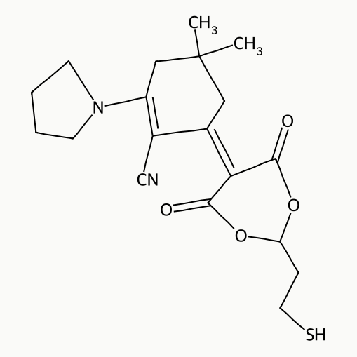 CC1(C)CC(=C2C(=O)OC(CCS)OC2=O)C(C#N)=C(N2CCCC2)C1